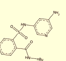 CCCCNC(=O)c1ccccc1S(=O)(=O)Nc1cncc(N)c1